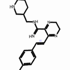 Cc1ccc(/C=C/C2=NCCN=C2C(=N)NCC2CCCNC2)cc1